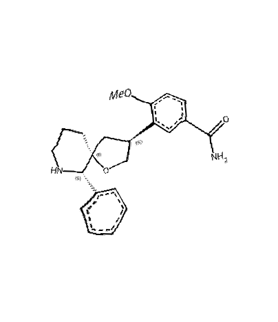 COc1ccc(C(N)=O)cc1[C@H]1CO[C@]2(CCCN[C@H]2c2ccccc2)C1